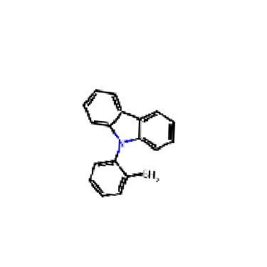 Bc1ccccc1-n1c2ccccc2c2ccccc21